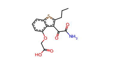 CCCc1sc2cccc(OCC(=O)O)c2c1C(=O)C(N)=O